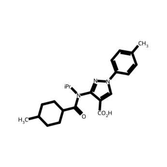 Cc1ccc(-n2cc(C(=O)O)c(N(C(=O)C3CCC(C)CC3)C(C)C)n2)cc1